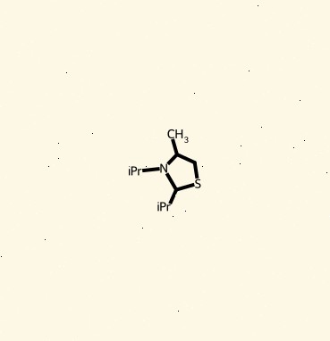 CC(C)C1SCC(C)N1C(C)C